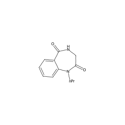 CCCN1C(=O)CNC(=O)c2ccccc21